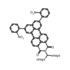 CCCCCCCC(CCCCCCC)N1C(=O)c2ccc3c4cc(-c5ccccc5[N+](=O)[O-])cc5cc(-c6ccccc6[N+](=O)[O-])cc(c6ccc(c2c36)C1=O)c54